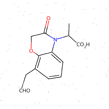 CC(C(=O)O)N1C(=O)COc2c(CC=O)cccc21